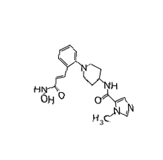 Cn1cncc1C(=O)NC1CCN(c2ccccc2/C=C/C(=O)NO)CC1